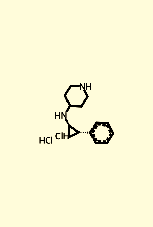 Cl.Cl.c1ccc([C@@H]2C[C@H]2NC2CCNCC2)cc1